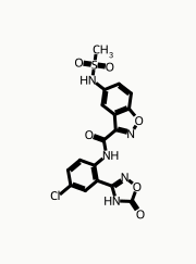 CS(=O)(=O)Nc1ccc2onc(C(=O)Nc3ccc(Cl)cc3-c3noc(=O)[nH]3)c2c1